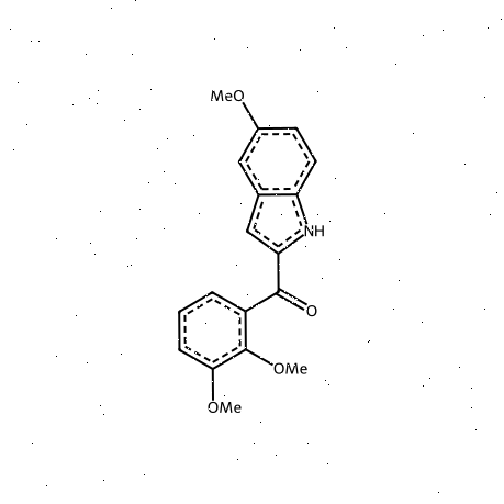 COc1ccc2[nH]c(C(=O)c3cccc(OC)c3OC)cc2c1